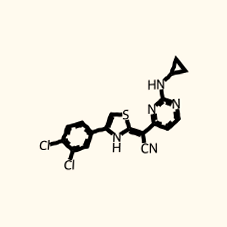 N#C/C(=C1\NC(c2ccc(Cl)c(Cl)c2)=CS1)c1ccnc(NC2CC2)n1